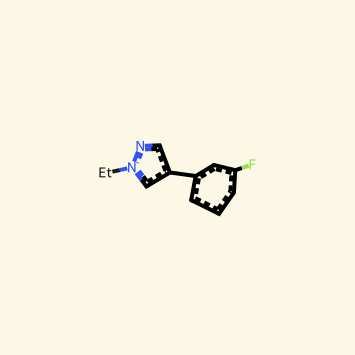 CCn1cc(-c2cccc(F)c2)cn1